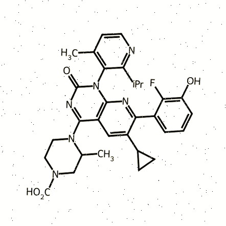 Cc1ccnc(C(C)C)c1-n1c(=O)nc(N2CCN(C(=O)O)CC2C)c2cc(C3CC3)c(-c3cccc(O)c3F)nc21